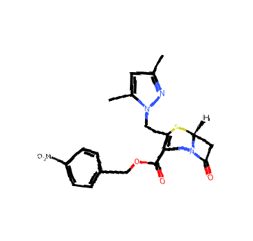 Cc1cc(C)n(CC2=C(C(=O)OCc3ccc([N+](=O)[O-])cc3)N3C(=O)C[C@H]3S2)n1